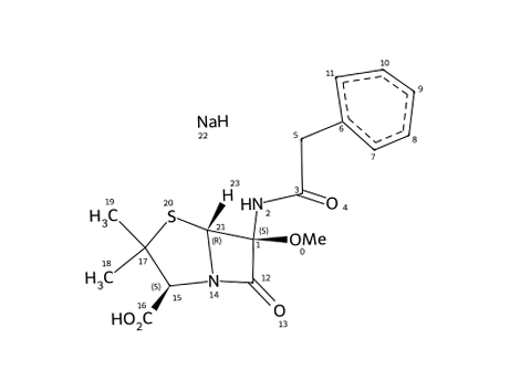 CO[C@@]1(NC(=O)Cc2ccccc2)C(=O)N2[C@@H](C(=O)O)C(C)(C)S[C@@H]21.[NaH]